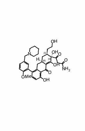 COc1ccc(CN2CCCCC2)cc1-c1ccc(O)c2c1C[C@H]1C[C@@H](CCO)[C@@](O)(C(=O)CC(N)=O)C(O)=C1C2=O